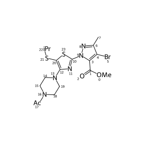 COC(=O)c1c(Br)c(C)nn1-c1nc(N2CCN(C(C)=O)CC2)c(SC(C)C)s1